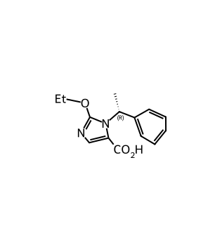 CCOc1ncc(C(=O)O)n1[C@H](C)c1ccccc1